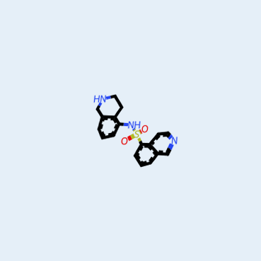 O=S(=O)(Nc1cccc2c1CCNC2)c1cccc2cnccc12